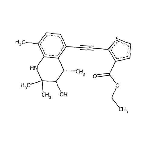 CCOC(=O)c1ccsc1C#Cc1ccc(C)c2c1[C@H](C)C(O)C(C)(C)N2